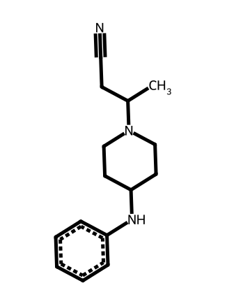 CC(CC#N)N1CCC(Nc2ccccc2)CC1